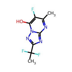 Cc1nc2nc(C(C)(F)F)nn2c(O)c1F